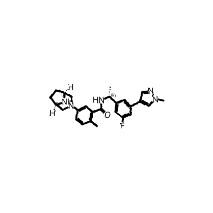 Cc1ccc(N2C[C@H]3CC[C@@H](C2)N3)cc1C(=O)N[C@H](C)c1cc(F)cc(-c2cnn(C)c2)c1